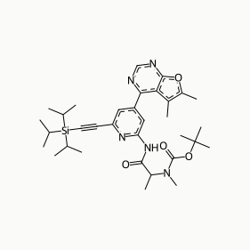 Cc1oc2ncnc(-c3cc(C#C[Si](C(C)C)(C(C)C)C(C)C)nc(NC(=O)C(C)N(C)C(=O)OC(C)(C)C)c3)c2c1C